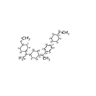 CCC1CCC(C(C)C2CCC(C(C)c3ccc([C@H]4CC[C@H](CC)CC4)cc3)CC2)CC1